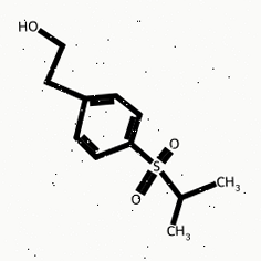 CC(C)S(=O)(=O)c1ccc(CCO)cc1